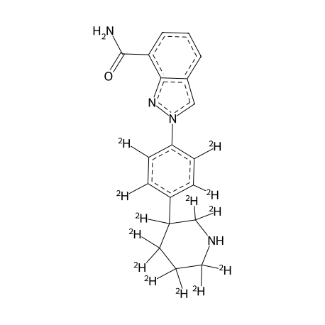 [2H]c1c([2H])c(C2([2H])C([2H])([2H])NC([2H])([2H])C([2H])([2H])C2([2H])[2H])c([2H])c([2H])c1-n1cc2cccc(C(N)=O)c2n1